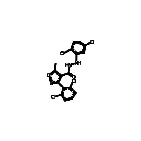 Cc1onc(-c2c(Cl)cccc2Cl)c1C(=O)NNc1cc(Cl)ccc1Cl